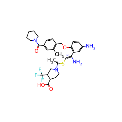 C=C(S/C=C(\N)c1cc(N)ccc1OCc1ccc(C(=O)N2CCCCC2)cc1C)N1CCC(C(=O)O)C(C(F)(F)F)C1